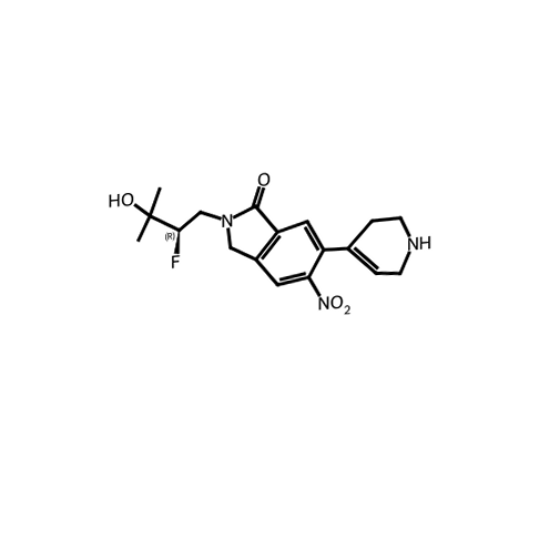 CC(C)(O)[C@H](F)CN1Cc2cc([N+](=O)[O-])c(C3=CCNCC3)cc2C1=O